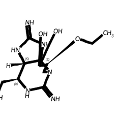 CCO[C@H]1CN2C(=N)N[C@@H](CO)[C@@H]3NC(=N)NC32C1(O)O